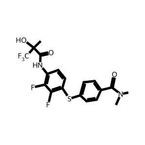 CN(C)C(=O)c1ccc(Sc2ccc(NC(=O)C(C)(O)C(F)(F)F)c(F)c2F)cc1